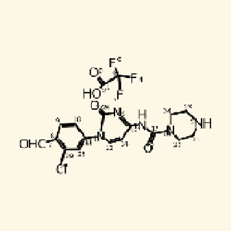 O=C(O)C(F)(F)F.O=Cc1ccc(-n2ccc(NC(=O)N3CCNCC3)nc2=O)cc1Cl